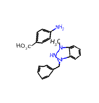 CN1NN(Cc2ccccc2)c2ccccc21.Nc1ccc(C(=O)O)cc1